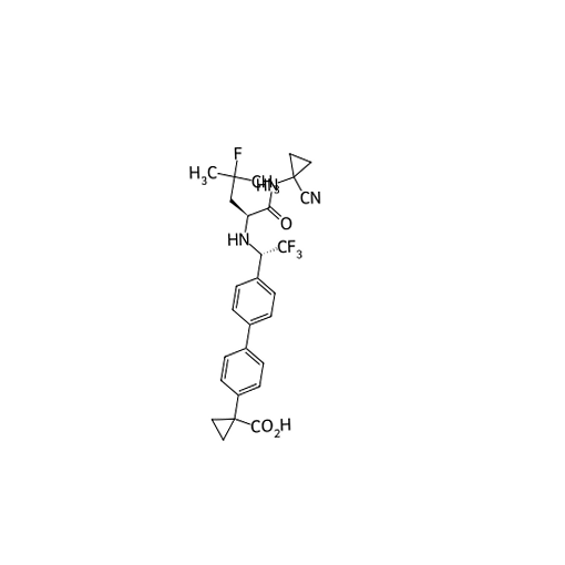 CC(C)(F)C[C@H](N[C@@H](c1ccc(-c2ccc(C3(C(=O)O)CC3)cc2)cc1)C(F)(F)F)C(=O)NC1(C#N)CC1